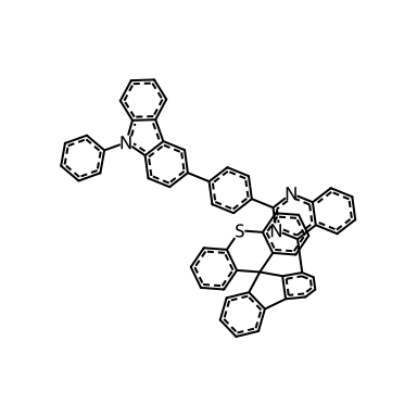 c1ccc(-n2c3ccccc3c3cc(-c4ccc(-c5nc(-c6cccc7c6C6(c8ccccc8Sc8ccccc86)c6ccccc6-7)c6ccccc6n5)cc4)ccc32)cc1